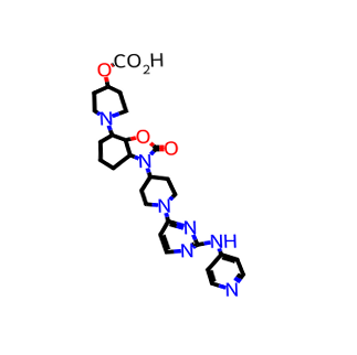 O=C(O)OC1CCN(C2CCCC3C2OC(=O)N3C2CCN(c3ccnc(Nc4ccncc4)n3)CC2)CC1